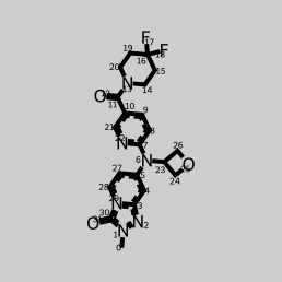 Cn1nc2cc(N(c3ccc(C(=O)N4CCC(F)(F)CC4)cn3)C3COC3)ccn2c1=O